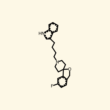 Fc1ccc2c(c1)C1(CCN(CCCCc3c[nH]c4ccccc34)CC1)OC2